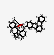 Cc1ccc2c(c1)C1(c3ccccc3Oc3ccccc31)c1cc(C)ccc1N2c1ccc2c(c1)c1cccc3c4ccccc4n2c31